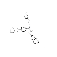 COc1ccc2nc(NC(=O)/C(=N/OCc3ccn(C)n3)c3ccc(S(=O)(=O)[C@H]4CCOC4)cc3)sc2n1